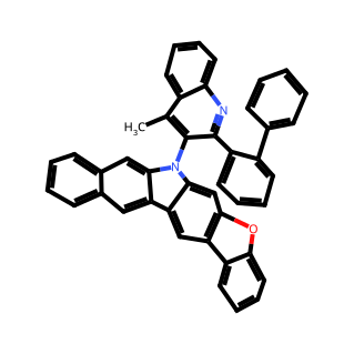 Cc1c(-n2c3cc4ccccc4cc3c3cc4c(cc32)oc2ccccc24)c(-c2ccccc2-c2ccccc2)nc2ccccc12